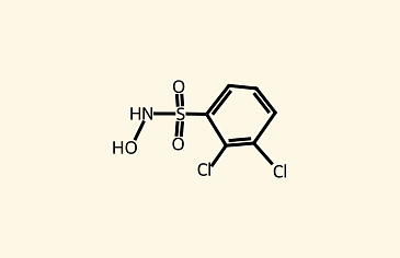 O=S(=O)(NO)c1cccc(Cl)c1Cl